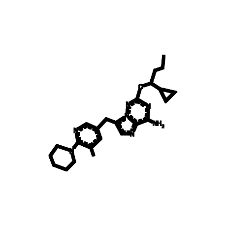 CCCC(Oc1nc(N)c2ncc(Cc3cnc(N4CCCCC4)c(C)c3)n2n1)C1CC1